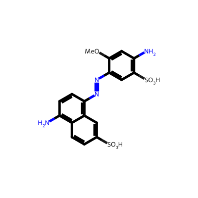 COc1cc(N)c(S(=O)(=O)O)cc1N=Nc1ccc(N)c2ccc(S(=O)(=O)O)cc12